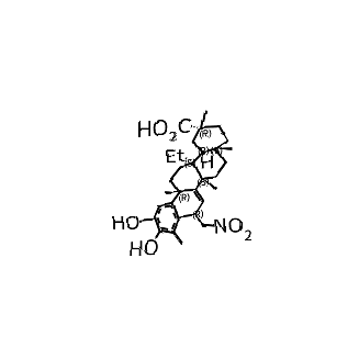 CC[C@@]12CC[C@]3(C)C(=C[C@@H](C[N+](=O)[O-])c4c3cc(O)c(O)c4C)[C@@]1(C)CC[C@@]1(C)CC[C@@](C)(C(=O)O)C[C@H]12